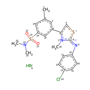 Br.Cc1cc(-c2cs/c(=N/c3ccc(Cl)cc3)n2C)cc(S(=O)(=O)N(C)C)c1